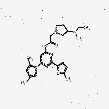 CCN(C)C1CCN(CC(=O)Nc2cc(-n3nc(C)cc3C)nc(-c3ccc(C)o3)n2)C1